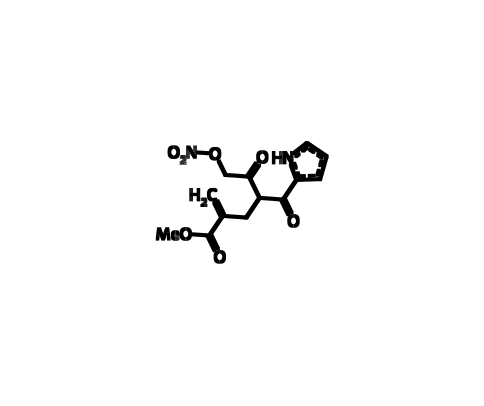 C=C(CC(C(=O)CO[N+](=O)[O-])C(=O)c1ccc[nH]1)C(=O)OC